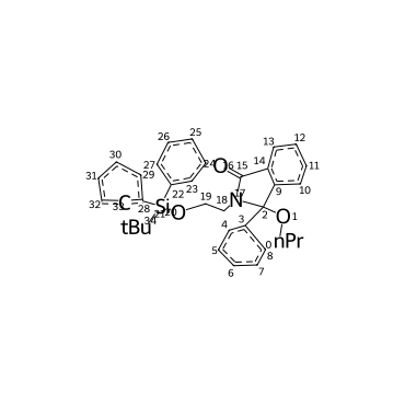 CCCOC1(c2ccccc2)c2ccccc2C(=O)N1CCO[Si](c1ccccc1)(c1ccccc1)C(C)(C)C